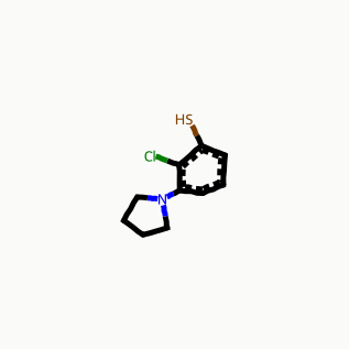 Sc1cccc(N2CCCC2)c1Cl